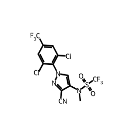 CN(c1cn(-c2c(Cl)cc(C(F)(F)F)cc2Cl)nc1C#N)S(=O)(=O)C(F)(F)F